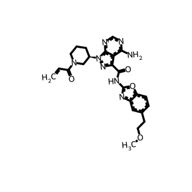 C=CC(=O)N1CCC[C@@H](n2nc(C(=O)Nc3nc4cc(CCOC)ccc4o3)c3c(N)ncnc32)C1